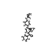 CCCN(C)Cc1ccc(-c2ccc(C(=O)c3ccccc3)cc2)cc1.Cl